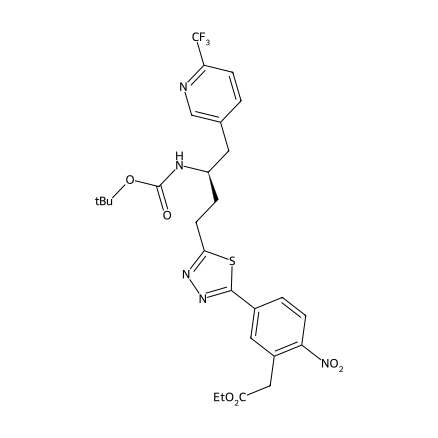 CCOC(=O)Cc1cc(-c2nnc(CC[C@H](Cc3ccc(C(F)(F)F)nc3)NC(=O)OC(C)(C)C)s2)ccc1[N+](=O)[O-]